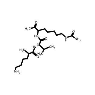 CC(=O)C(CCCCCNC(N)=O)NC(=O)[C@@H](NC(=O)C(N)CCCCN)C(C)C